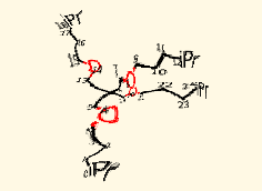 CC(C)CCCOCC(COCCCC(C)C)(COCCCC(C)C)COCCCC(C)C